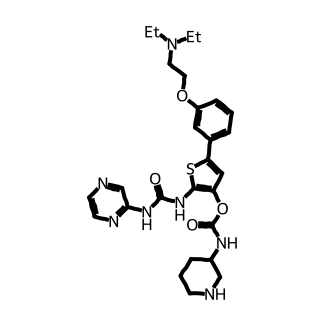 CCN(CC)CCOc1cccc(-c2cc(OC(=O)NC3CCCNC3)c(NC(=O)Nc3cnccn3)s2)c1